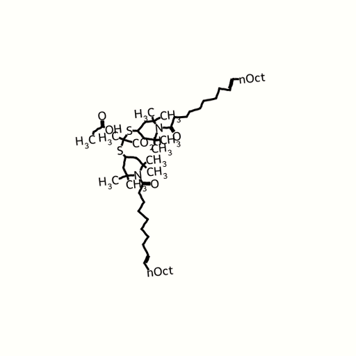 CCC(=O)O.CCCCCCCCC=CCCCCCCCC(=O)N1C(C)(C)CC(SC(C)(SC2CC(C)(C)N(C(=O)CCCCCCCC=CCCCCCCCC)C(C)(C)C2)C(=O)O)CC1(C)C